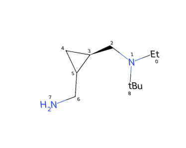 CCN(C[C@@H]1CC1CN)C(C)(C)C